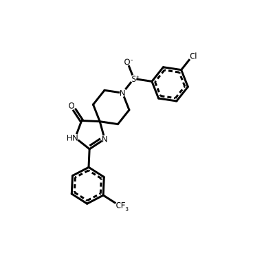 O=C1NC(c2cccc(C(F)(F)F)c2)=NC12CCN([S+]([O-])c1cccc(Cl)c1)CC2